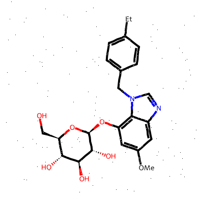 CCc1ccc(Cn2cnc3cc(OC)cc(O[C@@H]4O[C@H](CO)[C@@H](O)[C@H](O)[C@H]4O)c32)cc1